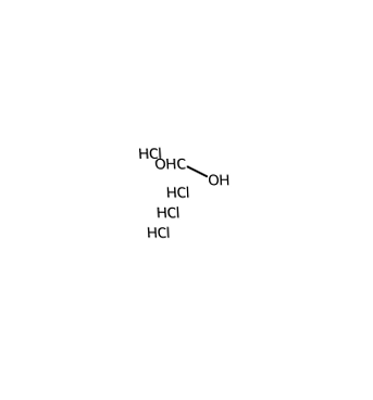 Cl.Cl.Cl.Cl.O=CO